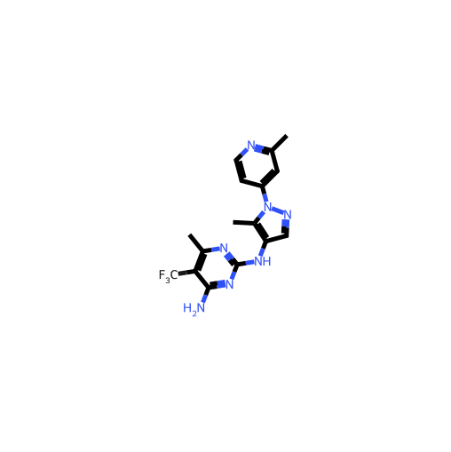 Cc1cc(-n2ncc(Nc3nc(C)c(C(F)(F)F)c(N)n3)c2C)ccn1